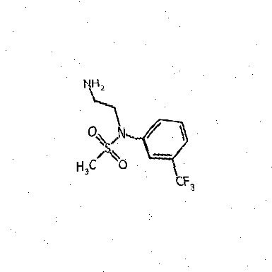 CS(=O)(=O)N(CCN)c1cccc(C(F)(F)F)c1